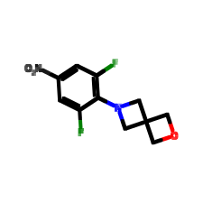 O=[N+]([O-])c1cc(F)c(N2CC3(COC3)C2)c(F)c1